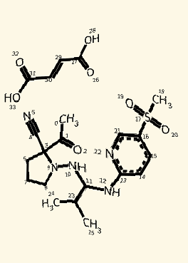 CC(=O)C1(C#N)CCCN1NC(Nc1ccc(S(C)(=O)=O)cn1)C(C)C.O=C(O)C=CC(=O)O